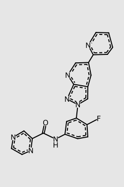 O=C(Nc1ccc(F)c(-n2cc3cc(-c4ccccn4)cnc3n2)c1)c1cnccn1